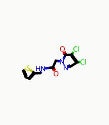 O=C(Cn1ncc(Cl)c(Cl)c1=O)NCc1cccs1